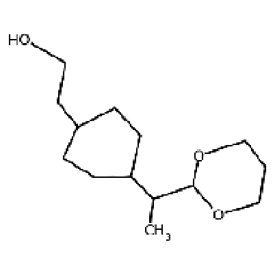 CC(C1CCC(CCO)CC1)C1OCCCO1